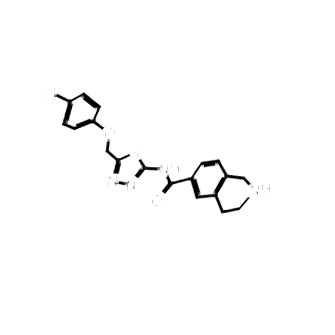 O=C(Nc1nnc(COc2ccc(Cl)cc2)s1)c1ccc2c(c1)CCNC2